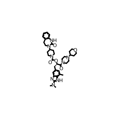 Cc1cc(C[C@@H](OC(=O)N2CCC(N3CCc4ccccc4NC3=O)CC2)C(=O)N2CCN(C3CCOCC3)CC2)cc2nc(N(C)C)[nH]c12